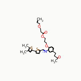 C=CCOCCC(=O)OCCCOc1ccc(CCC(C)=O)cc1/N=C/c1ccc(-c2cc(C)c(C)s2)s1